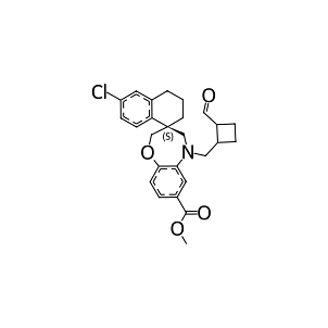 COC(=O)c1ccc2c(c1)N(CC1CCC1C=O)C[C@@]1(CCCc3cc(Cl)ccc31)CO2